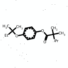 CCC(C)(C)Oc1ccc(OC(=O)C(C)(C)C(C)C)cc1